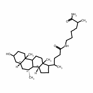 CC(CCCCNC(=O)CCC(C)C1CC[C@@H]2C3C(CCC12C)C1(C)CCC(O)C[C@H]1C[C@H]3C)C(N)=O